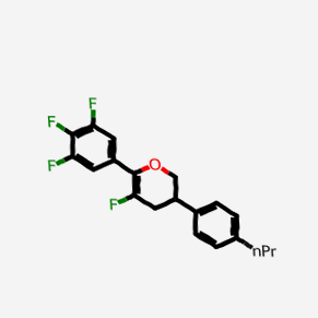 CCCc1ccc(C2COC(c3cc(F)c(F)c(F)c3)=C(F)C2)cc1